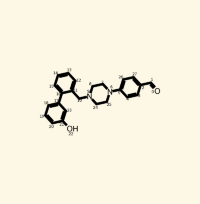 O=Cc1ccc(N2CCN(Cc3ccccc3-c3cccc(O)c3)CC2)cc1